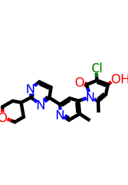 Cc1cnc(-c2ccnc(C3CCOCC3)n2)cc1-n1c(C)cc(O)c(Cl)c1=O